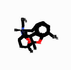 Cc1ccc2c3c1O[C@@H]1[C@@H]4CCC5(O4)[C@H](C2)N(C)CC[C@@]315